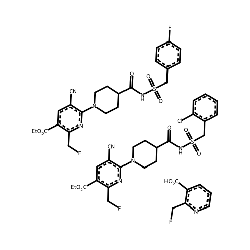 CCOC(=O)c1cc(C#N)c(N2CCC(C(=O)NS(=O)(=O)Cc3ccc(F)cc3)CC2)nc1CF.CCOC(=O)c1cc(C#N)c(N2CCC(C(=O)NS(=O)(=O)Cc3ccccc3Cl)CC2)nc1CF.O=C(O)c1cccnc1CF